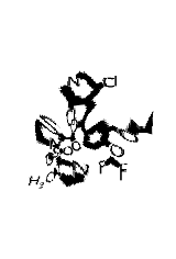 Cn1ccnc1S(=O)(=O)N1CCS[C@H]1C(=O)OC(Cc1c(Cl)cncc1Cl)c1ccc(OC(F)F)c(OCC2CC2)c1